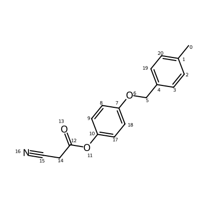 Cc1ccc(COc2ccc(OC(=O)CC#N)cc2)cc1